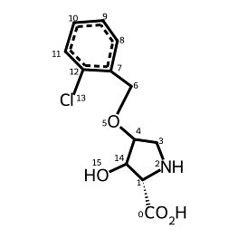 O=C(O)[C@H]1NCC(OCc2ccccc2Cl)C1O